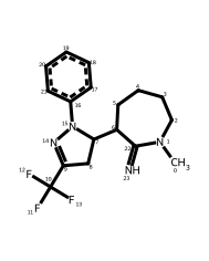 CN1CCCCC(C2CC(C(F)(F)F)=NN2c2ccccc2)C1=N